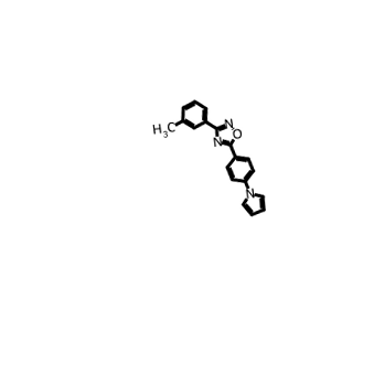 Cc1cccc(-c2noc(-c3ccc(-n4cccc4)cc3)n2)c1